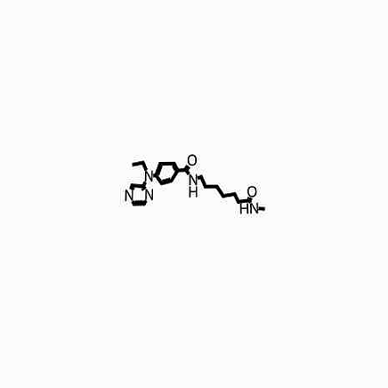 CCN(c1ccc(C(=O)NCCCCCCC(=O)NC)cc1)c1cnccn1